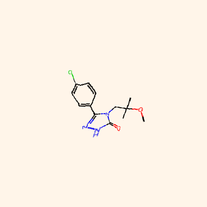 COC(C)(C)Cn1c(-c2ccc(Cl)cc2)n[nH]c1=O